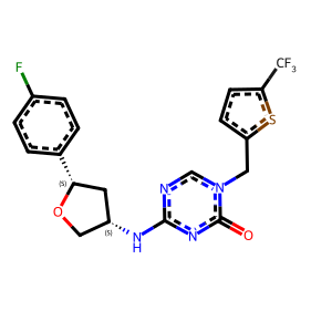 O=c1nc(N[C@@H]2CO[C@H](c3ccc(F)cc3)C2)ncn1Cc1ccc(C(F)(F)F)s1